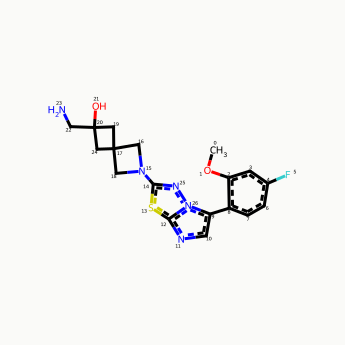 COc1cc(F)ccc1-c1cnc2sc(N3CC4(C3)CC(O)(CN)C4)nn12